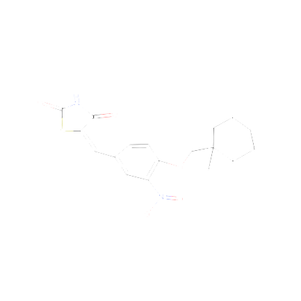 CC1(COc2ccc(C=C3SC(=O)NC3=O)cc2[N+](=O)[O-])CCCCC1